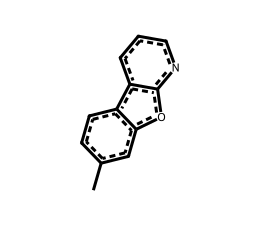 Cc1ccc2c(c1)oc1ncccc12